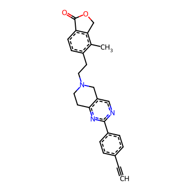 C#Cc1ccc(-c2ncc3c(n2)CCN(CCc2ccc4c(c2C)COC4=O)C3)cc1